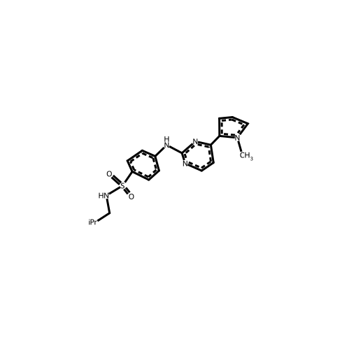 CC(C)CNS(=O)(=O)c1ccc(Nc2nccc(-c3cccn3C)n2)cc1